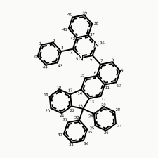 c1ccc(-c2nc(-c3cccc4cc5c(cc34)-c3ccccc3C5(c3ccccc3)c3ccccc3)nc3ccccc23)cc1